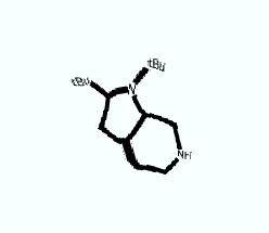 CC(C)(C)C1CC2CCNCC2N1C(C)(C)C